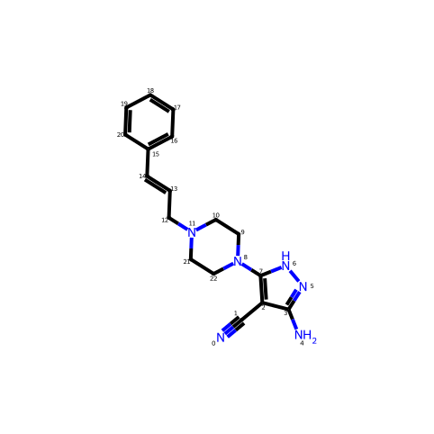 N#Cc1c(N)n[nH]c1N1CCN(CC=Cc2ccccc2)CC1